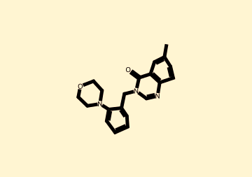 Cc1ccc2ncn(Cc3ccccc3N3CCOCC3)c(=O)c2c1